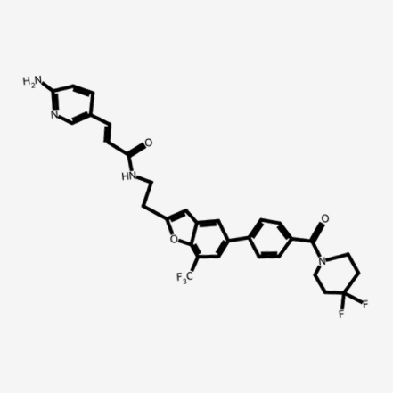 Nc1ccc(/C=C/C(=O)NCCc2cc3cc(-c4ccc(C(=O)N5CCC(F)(F)CC5)cc4)cc(C(F)(F)F)c3o2)cn1